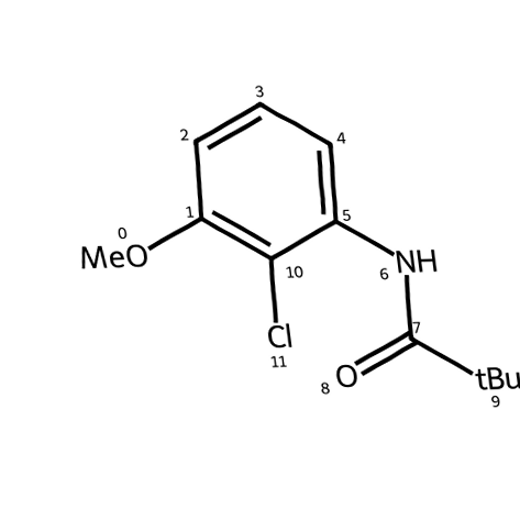 COc1cccc(NC(=O)C(C)(C)C)c1Cl